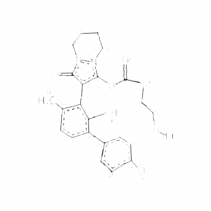 CCOCCOC(=O)Oc1c(-c2c(C)ccc(-c3ccc(Cl)cc3)c2C)c(=O)n2n1CCCC2